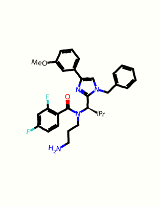 COc1cccc(-c2cn(Cc3ccccc3)c([C@@H](C(C)C)N(CCCN)C(=O)c3ccc(F)cc3F)n2)c1